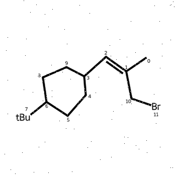 CC(=CC1CCC(C(C)(C)C)CC1)CBr